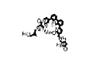 COc1nc(-c2cccc(-c3cccc(-c4ccn5c(=O)c(CNCC6CC6CO)cnc5c4)c3Cl)c2Cl)ccc1CNCC1CCC(=O)N1